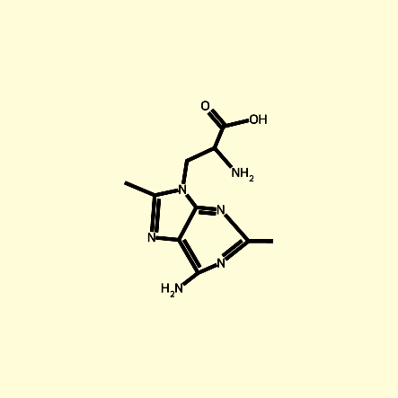 Cc1nc(N)c2nc(C)n(CC(N)C(=O)O)c2n1